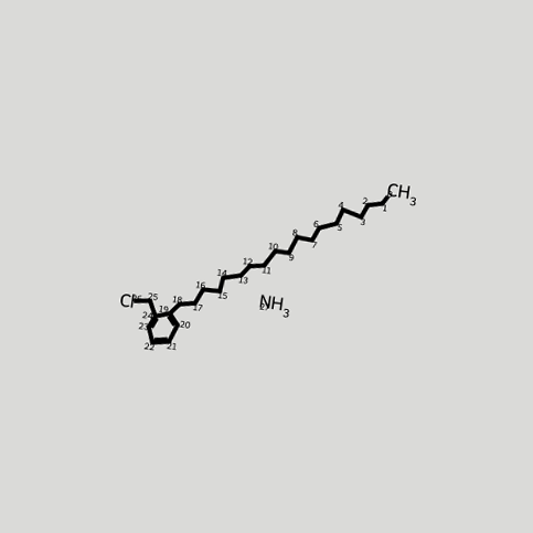 CCCCCCCCCCCCCCCCCCCc1ccccc1CCl.N